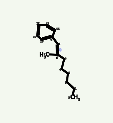 CCCCCC/C(C)=C/c1ccccc1